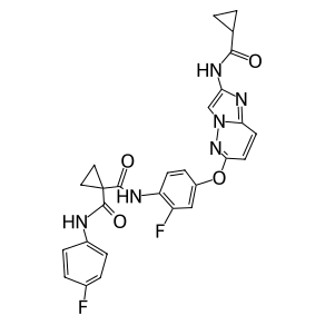 O=C(Nc1cn2nc(Oc3ccc(NC(=O)C4(C(=O)Nc5ccc(F)cc5)CC4)c(F)c3)ccc2n1)C1CC1